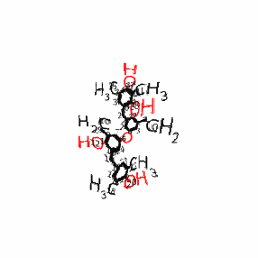 C=Cc1cc(Oc2cc(C=C)c(O)c(Cc3cc(C)c(O)c(C)c3)c2)cc(Cc2cc(C)c(O)c(C)c2)c1O